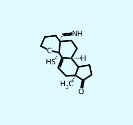 C[C@]12CC=C3[C@@H](CC[C@]4(C=N)CCCC[C@]34S)C1CCC2=O